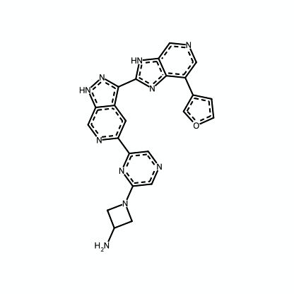 NC1CN(c2cncc(-c3cc4c(-c5nc6c(-c7ccoc7)cncc6[nH]5)n[nH]c4cn3)n2)C1